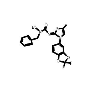 CCN(Cc1ccccc1)C(=O)/N=c1\sc(C)cn1-c1ccc2c(c1)OC(F)(F)O2